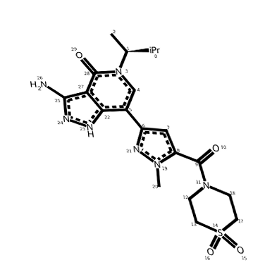 CC(C)[C@H](C)n1cc(-c2cc(C(=O)N3CCS(=O)(=O)CC3)n(C)n2)c2[nH]nc(N)c2c1=O